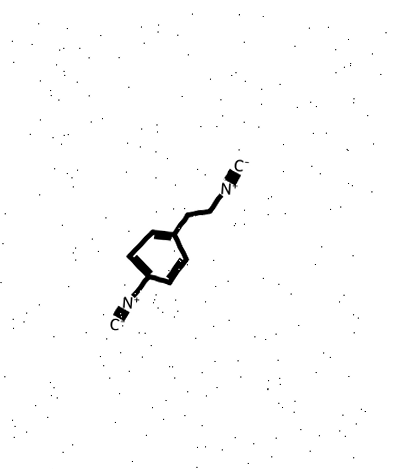 [C-]#[N+]CCc1ccc([N+]#[C-])cc1